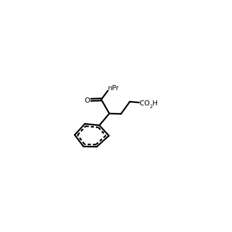 CCCC(=O)C(CCC(=O)O)c1ccccc1